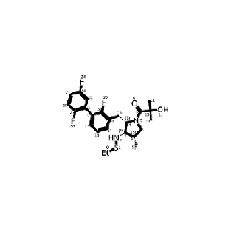 CCSN[C@H]1[C@@H](F)CN(C(=O)C(C)(C)O)[C@H]1Cc1cccc(-c2cc(F)ccc2F)c1F